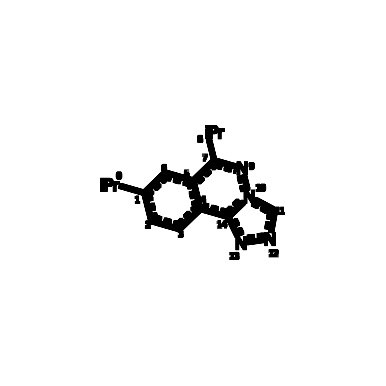 CC(C)c1ccc2c(c1)c(C(C)C)nn1cnnc21